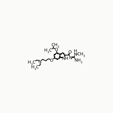 CCN(CC)CCCOc1cc(OC(C)C)c2cc(C(=O)N=C(N)NC)[nH]c2c1